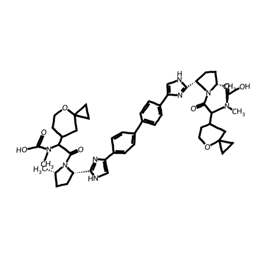 C[C@H]1CC[C@@H](c2nc(-c3ccc(-c4ccc(-c5c[nH]c([C@@H]6CC[C@H](C)N6C(=O)C(C6CCOC7(CC7)C6)N(C)C(=O)O)n5)cc4)cc3)c[nH]2)N1C(=O)C(C1CCOC2(CC2)C1)N(C)C(=O)O